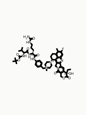 CC[C@@]1(O)C(=O)OCc2c1cc1n(c2=O)Cc2c-1nc1cc(F)c(C)c3c1c2[C@@H](N1CC[N+](C)(Cc2ccc(NC(=O)[C@H](CCCNC(N)=O)NC(=O)[C@@H](NC(=O)OC(C)(C)C)C(C)C)cc2)CC1)CC3